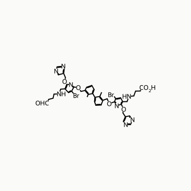 Cc1c(COc2nc(OCc3cncnc3)c(CNCCCC=O)cc2Br)cccc1-c1cccc(COc2nc(OCc3cncnc3)c(CNCCCC(=O)O)cc2Br)c1C